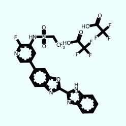 O=C(O)C(F)(F)F.O=C(O)C(F)(F)F.O=S(=O)(CC(F)(F)F)Nc1cc(-c2ccc3nc(-c4nc5ccccc5[nH]4)oc3c2)cnc1F